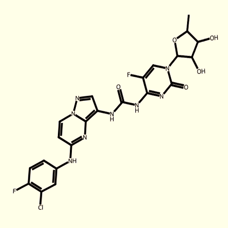 CC1OC(n2cc(F)c(NC(=O)Nc3cnn4ccc(Nc5ccc(F)c(Cl)c5)nc34)nc2=O)C(O)C1O